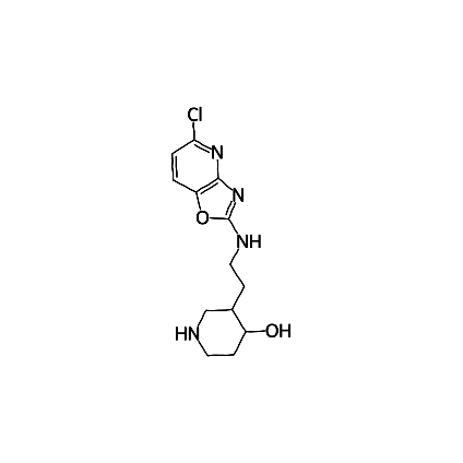 OC1CCNCC1CCNc1nc2nc(Cl)ccc2o1